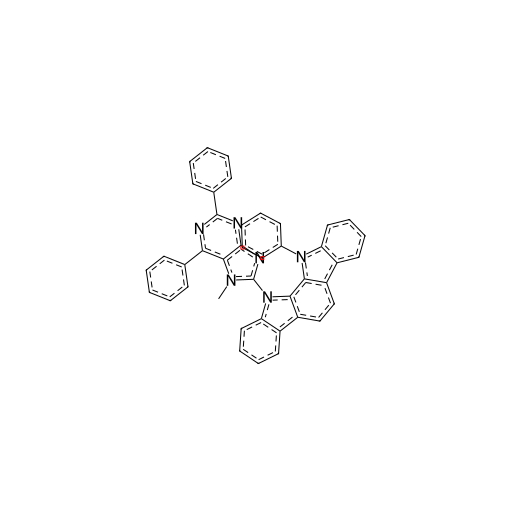 Cn1c(-n2c3ccccc3c3ccc4c5ccccc5n(-c5ccccc5)c4c32)nc2nc(-c3ccccc3)nc(-c3ccccc3)c21